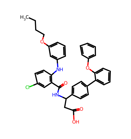 CCCCOc1cccc(Nc2ccc(Cl)cc2C(=O)NC(CC(=O)O)c2ccc(-c3ccccc3Oc3ccccc3)cc2)c1